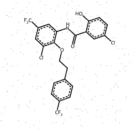 O=C(Nc1cc(C(F)(F)F)cc(Cl)c1OCCc1ccc(C(F)(F)F)cc1)c1cc(Cl)ccc1O